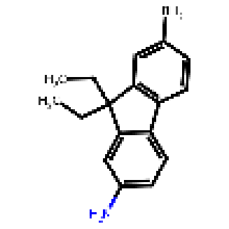 Bc1ccc2c(c1)C(CC)(CC)c1cc(N)ccc1-2